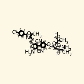 Cc1oc(-c2ccc(Cl)cc2)nc1CSc1nc(N)c(C#N)c(-c2ccc(OC[C@H](COC(=O)[C@H](C)N)OC(=O)[C@H](C)N)cc2)c1C#N